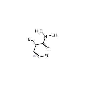 CC/C=C\C(CC)C(=O)N(C)C